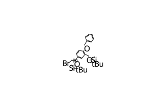 CC(C)(C)[Si](C)(C)OCc1cc([C@H](CBr)O[Si](C)(C)C(C)(C)C)ccc1OCc1ccccc1